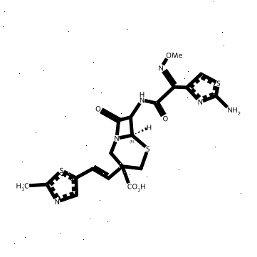 CON=C(C(=O)NC1C(=O)N2CC(C=Cc3cnc(C)s3)(C(=O)O)CS[C@H]12)c1csc(N)n1